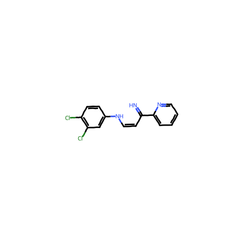 N=C(/C=C\Nc1ccc(Cl)c(Cl)c1)c1ccccn1